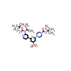 CC(C)N(C(=O)OC(C)(C)C)c1cc(-c2cc([N+](=O)[O-])cc(N3CCN(C(=O)OC(C)(C)C)CC3)n2)ccn1